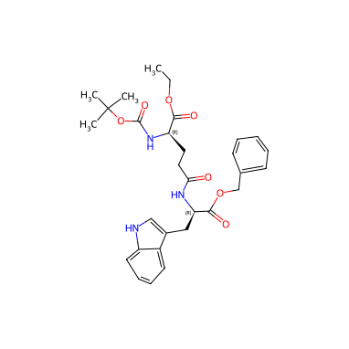 CCOC(=O)[C@@H](CCC(=O)N[C@H](Cc1c[nH]c2ccccc12)C(=O)OCc1ccccc1)NC(=O)OC(C)(C)C